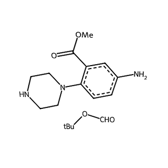 CC(C)(C)OC=O.COC(=O)c1cc(N)ccc1N1CCNCC1